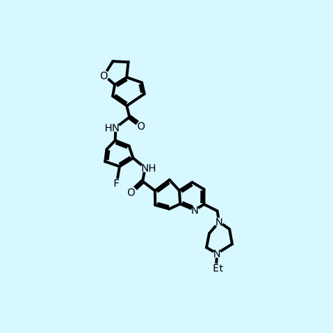 CCN1CCN(Cc2ccc3cc(C(=O)Nc4cc(NC(=O)c5ccc6c(c5)OCC6)ccc4F)ccc3n2)CC1